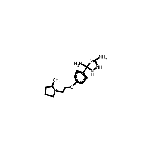 CC1CCCN1CCOc1ccc(C2(N)N=C(N)NN2)cc1